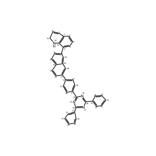 C1=Cc2cccc(-c3ccc4ccc(-c5ccc(-c6nc(-c7ccccc7)nc(-c7ccccc7)n6)cc5)cc4c3)c2NC1